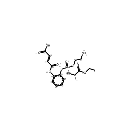 CCOC(=O)[C@H](C)N[P@@](=O)(Oc1ccccc1OC(=O)/C=C/C(=O)O)SCCN